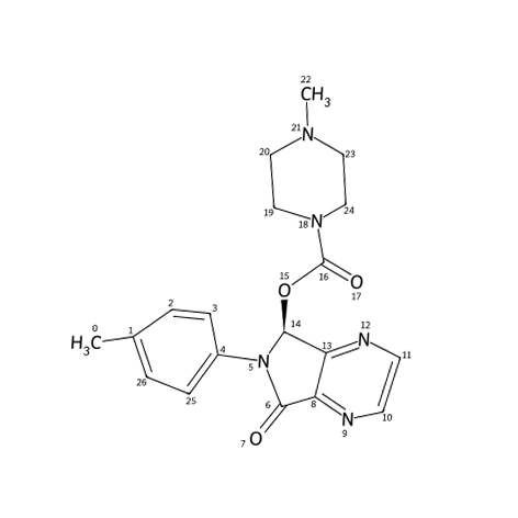 Cc1ccc(N2C(=O)c3nccnc3[C@@H]2OC(=O)N2CCN(C)CC2)cc1